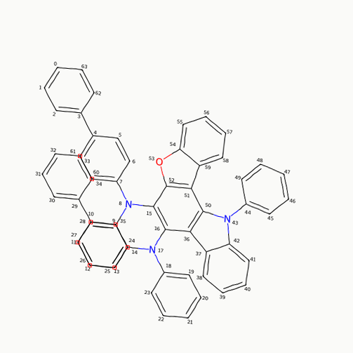 c1ccc(-c2ccc(N(c3ccccc3)c3c(N(c4ccccc4)c4cccc(-c5ccccc5)c4)c4c5ccccc5n(-c5ccccc5)c4c4c3oc3ccccc34)cc2)cc1